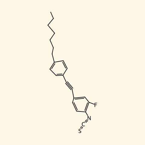 CCCCCCCc1ccc(C#Cc2ccc(N=C=S)c(F)c2)cc1